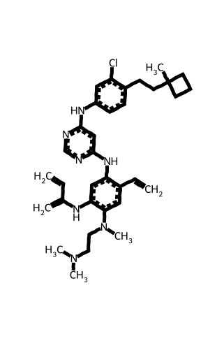 C=CC(=C)Nc1cc(Nc2cc(Nc3ccc(CCC4(C)CCC4)c(Cl)c3)ncn2)c(C=C)cc1N(C)CCN(C)C